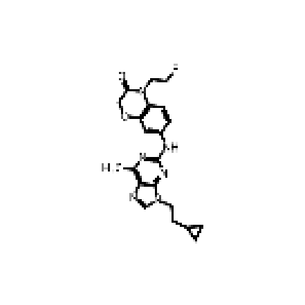 Cc1nc(Nc2ccc3c(c2)OCC(=O)N3CCF)nc2c1ncn2CCC1CC1